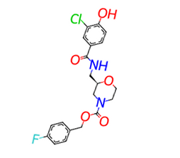 O=C(NC[C@@H]1CN(C(=O)OCc2ccc(F)cc2)CCO1)c1ccc(O)c(Cl)c1